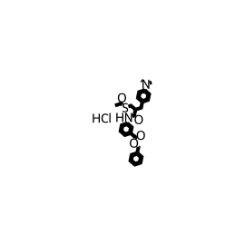 CC(=O)SCC(Cc1ccc(N(C)C)cc1)C(=O)Nc1cccc(C(=O)OCc2ccccc2)c1.Cl